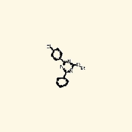 CCOc1nc(-c2ccccc2)nc(-c2ccc(Cl)cc2)n1